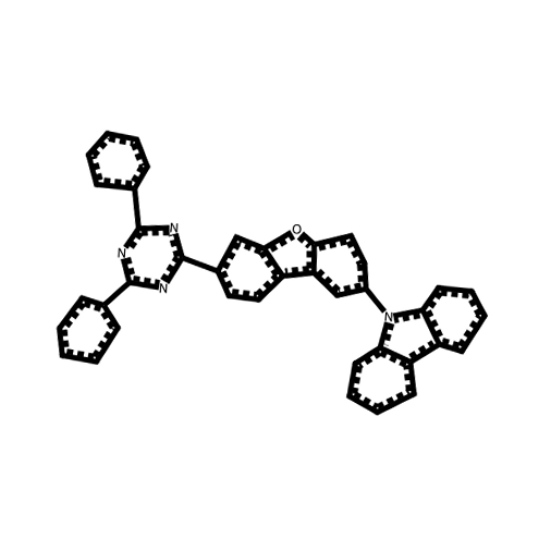 c1ccc(-c2nc(-c3ccccc3)nc(-c3ccc4c(c3)oc3ccc(-n5c6ccccc6c6ccccc65)cc34)n2)cc1